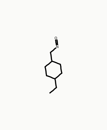 CCC1CCC(CN=O)CC1